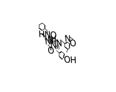 C=CCN1CC(=O)N2[C@@H](Cc3ccc(O)cc3)CN(Cc3cc(C)cc4c3N(C)CCO4)C[C@@H]2N1C(=O)NCC1=CCCC=C1